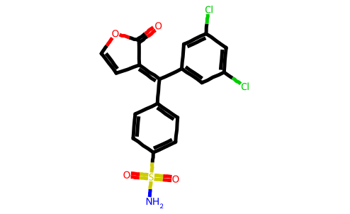 NS(=O)(=O)c1ccc(C(=C2C=COC2=O)c2cc(Cl)cc(Cl)c2)cc1